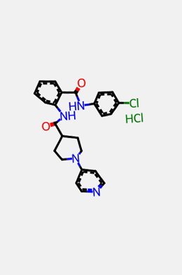 Cl.O=C(Nc1ccc(Cl)cc1)c1ccccc1NC(=O)C1CCN(c2ccncc2)CC1